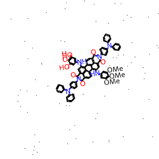 COc1cc(Nc2cc3c4c(ccc5c6c(Nc7cc(O)c(O)c(O)c7)cc7c8c(ccc(c2c45)c86)C(=O)N(c2ccc(N(c4ccccc4)c4ccccc4)cc2)C7=O)C(=O)N(c2ccc(N(c4ccccc4)c4ccccc4)cc2)C3=O)cc(OC)c1OC